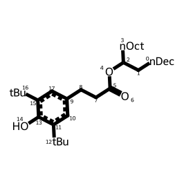 CCCCCCCCCCCC(CCCCCCCC)OC(=O)CCc1cc(C(C)(C)C)c(O)c(C(C)(C)C)c1